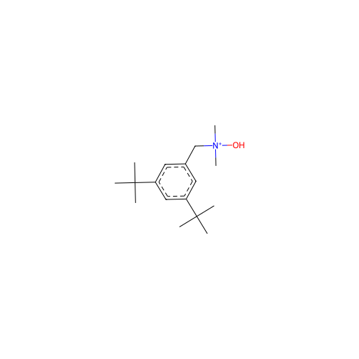 CC(C)(C)c1cc(C[N+](C)(C)O)cc(C(C)(C)C)c1